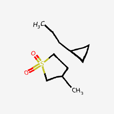 CC1CCS(=O)(=O)C1.CCCC1CC1